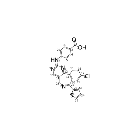 O=C(O)c1ccc(Nc2ncc3c(n2)-c2ccc(Cl)cc2C(c2cccs2)=NC3)cc1